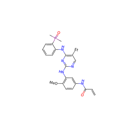 C=CC(=O)Nc1ccc(OC)c(Nc2ncc(CC)c(Nc3ccccc3P(C)(C)=O)n2)c1